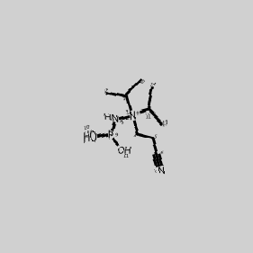 CC(C)[N+](CCC#N)(NP(O)O)C(C)C